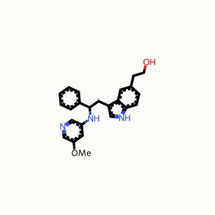 COc1cncc(NC([CH]c2c[nH]c3ccc(CCO)cc23)c2ccccc2)c1